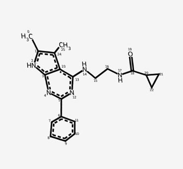 Cc1[nH]c2nc(-c3ccccc3)nc(NCCNC(=O)C3CC3)c2c1C